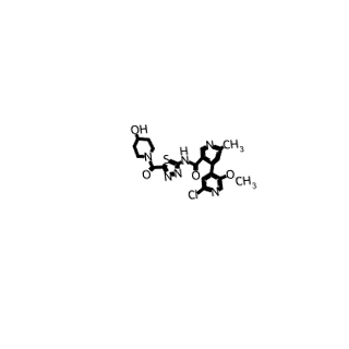 COc1cnc(Cl)cc1-c1cc(C)ncc1C(=O)Nc1nnc(C(=O)N2CCC(O)CC2)s1